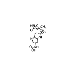 CC(C)(C)N(C(=O)O)C1Cc2ncc(NC(=O)O)cc2NC1=O